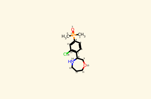 CP(C)(=O)c1ccc(C2COCCCN2)c(Cl)c1